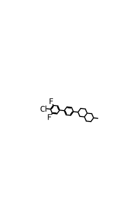 CC1CCC2CC(c3ccc(-c4cc(F)c(Cl)c(F)c4)cc3)CCC2C1